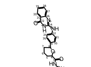 O=C(NO)C1CCCC(c2ccc(Nc3nc4ccccc4c(=O)[nH]3)cc2)O1